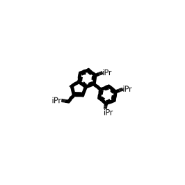 CC(C)CC1=Cc2c(ccc(C(C)C)c2-c2cc(C(C)C)cc(C(C)C)c2)[CH]1